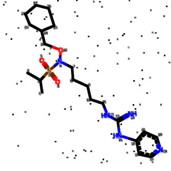 CC(C)S(=O)(=O)N(CCCCCNC(=N)Nc1ccncc1)OCC1CCCCC1